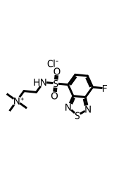 C[N+](C)(C)CCNS(=O)(=O)c1ccc(F)c2nsnc12.[Cl-]